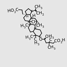 C=C(C)[C@@H]1CC[C@]2(CCC(=O)O)CC[C@]3(C)[C@H](CCC4[C@@]5(C)CC[C@H](OC(=O)CC(C)(C)CC(=O)O)C(C)(C)C5CC[C@]43C)C12